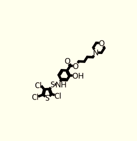 O=C(OCCCCN1CCOCC1)c1ccc(NSc2c(Cl)sc(Cl)c2Cl)cc1O